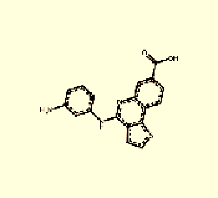 Nc1cccc(Nc2nc3cc(C(=O)O)ccc3c3sccc23)c1